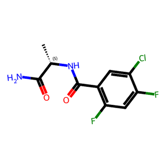 C[C@H](NC(=O)c1cc(Cl)c(F)cc1F)C(N)=O